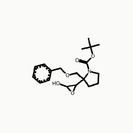 CC(C)(C)OC(=O)N1CCCC1(COCc1ccccc1)C1OC1O